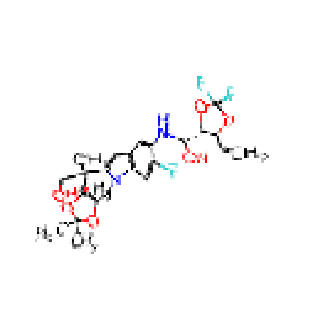 C=CC1OC(F)(F)O[C@H]1C(O)Nc1cc2cc(C(C)(C)CO)n(C[C@@H]3COC(C)(C)O3)c2cc1F